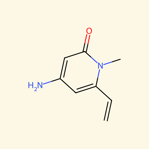 C=Cc1cc(N)cc(=O)n1C